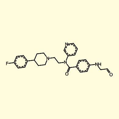 O=CCNc1ccc(C(=O)N(CCN2CCC(c3ccc(F)cc3)CC2)c2cccnc2)cc1